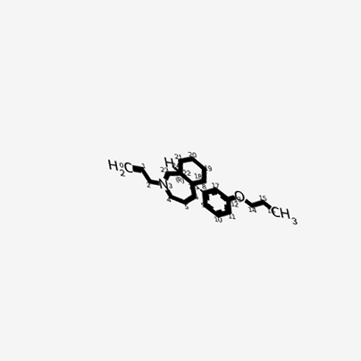 C=CCN1CCC[C@]2(c3cccc(OCCC)c3)CCCC[C@H]2C1